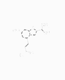 CCC(C=Cc1cccc2sc(C(=N)N)cc12)CC.Cl